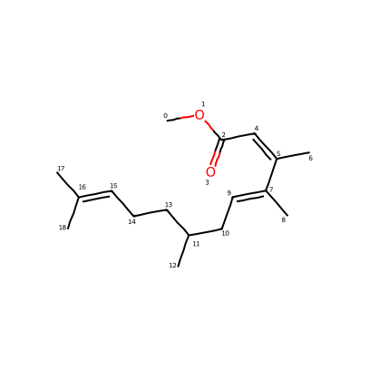 COC(=O)C=C(C)C(C)=CCC(C)CCC=C(C)C